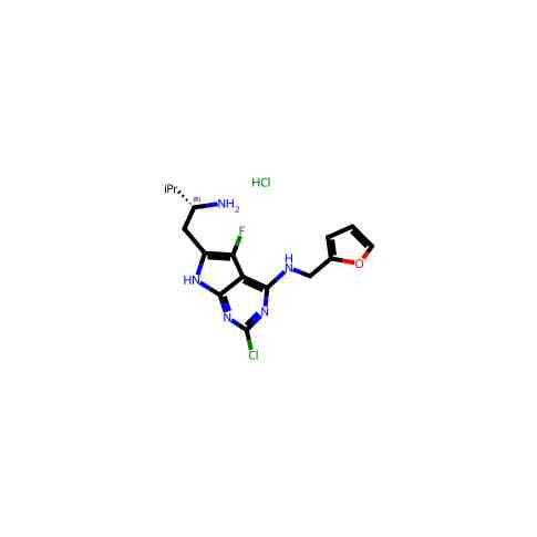 CC(C)[C@H](N)Cc1[nH]c2nc(Cl)nc(NCc3ccco3)c2c1F.Cl